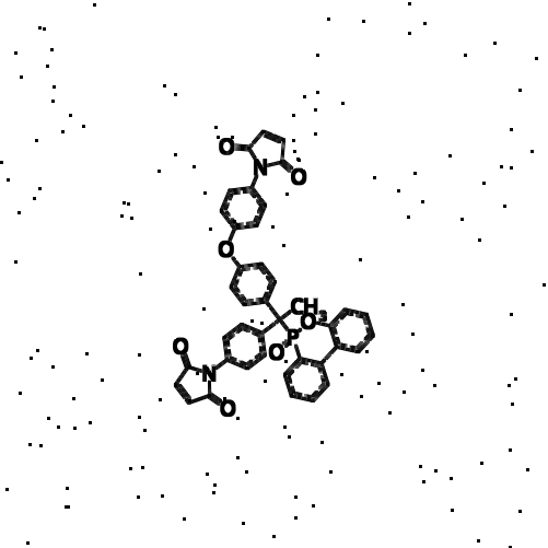 CC(c1ccc(Oc2ccc(N3C(=O)C=CC3=O)cc2)cc1)(c1ccc(N2C(=O)C=CC2=O)cc1)P1(=O)Oc2ccccc2-c2ccccc21